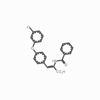 O=C(O)/C(=C/c1ccc(Oc2cccc(Cl)c2)cc1)NC(=O)c1ccccc1